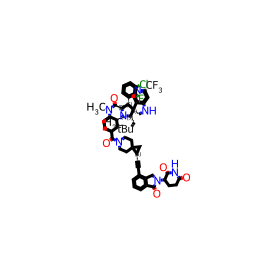 CN1[C@@H](CC(C)(C)C)[C@@]2(CNc3cc(C(F)(F)F)ncc32)[C@@H](c2cccc(Cl)c2F)[C@@H]1C(=O)N(C)C12CCC(C(=O)N3CCC4(CC3)C[C@@H]4C#Cc3cccc4c3CN(C3CCC(=O)NC3=O)C4=O)(CC1)CC2